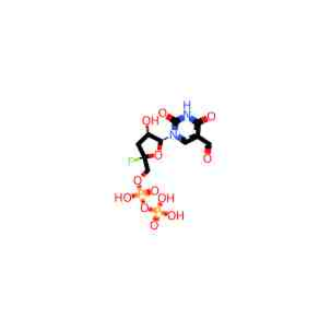 O=Cc1cn([C@@H]2O[C@](F)(COP(=O)(O)OP(=O)(O)O)C[C@H]2O)c(=O)[nH]c1=O